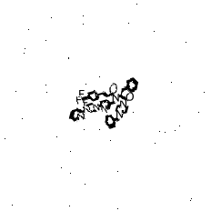 O=C([C@H](Cc1ccccc1)N(Cc1ccc(N2CCN(c3ccccn3)CC2)nc1)C(=O)C=Cc1ccc(C(F)(F)F)cc1)N1CCN(Cc2ccccc2)CC1